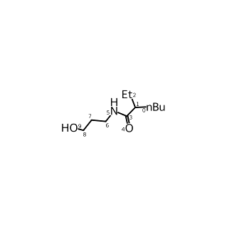 CCCCC(CC)C(=O)NCCCO